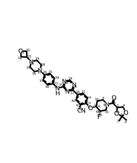 CC1(C)OCC(C(=O)N2CC[C@H](Oc3ccc(-c4ncnc(Nc5ccc(N6CCN(C7COC7)CC6)cc5)n4)cc3C#N)[C@@H](F)C2)O1